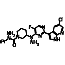 CCCN(N)C(=O)N1CCCC(N(N)c2nc(-c3c[nH]c4ncc(Cl)cc34)ncc2F)C1